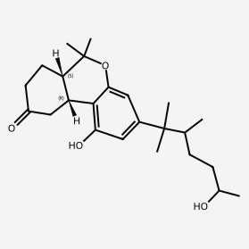 CC(O)CCC(C)C(C)(C)c1cc(O)c2c(c1)OC(C)(C)[C@H]1CCC(=O)C[C@@H]21